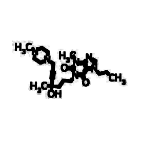 CCCn1cnc2c1c(=O)n(CCCC(C)(O)C#CCN1CCN(C)CC1)c(=O)n2C